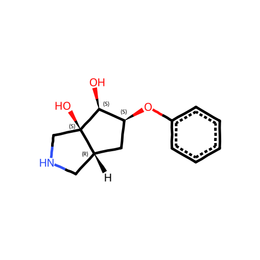 O[C@H]1[C@@H](Oc2ccccc2)C[C@@H]2CNC[C@@]21O